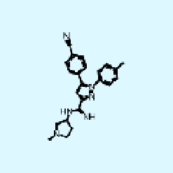 Cc1ccc(-n2nc(C(=N)NC3CCN(C)C3)cc2-c2ccc(C#N)cc2)cc1